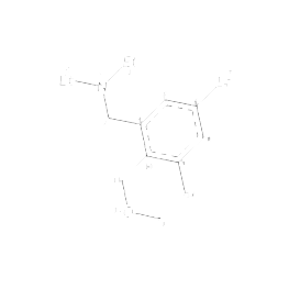 CCN(CC)Cc1cc(Br)cc2c1COCC2